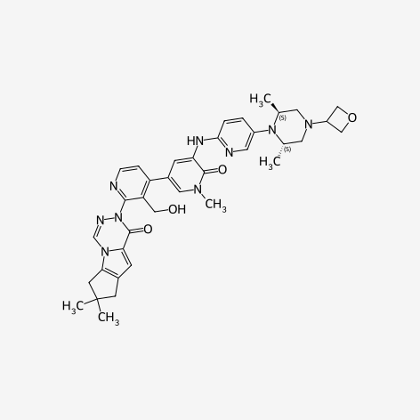 C[C@H]1CN(C2COC2)C[C@H](C)N1c1ccc(Nc2cc(-c3ccnc(-n4ncn5c6c(cc5c4=O)CC(C)(C)C6)c3CO)cn(C)c2=O)nc1